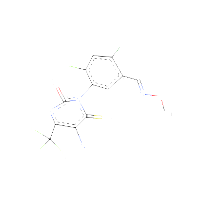 CON=Cc1cc(-n2c(=O)[nH]c(C(F)(F)F)c(N)c2=S)c(F)cc1Cl